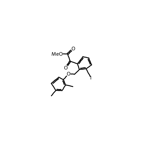 COC(=O)C(=O)c1cccc(I)c1COc1ccc(C)cc1C